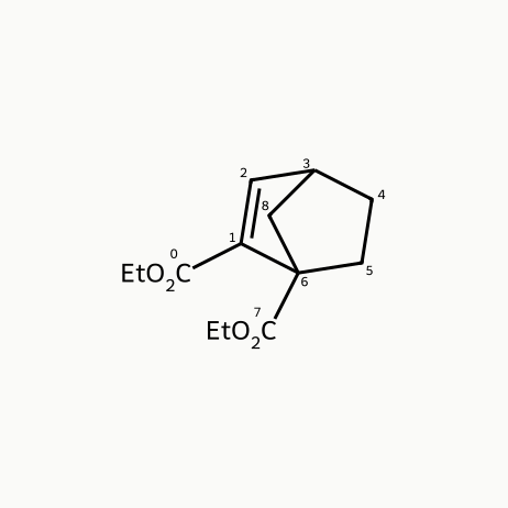 CCOC(=O)C1=CC2CCC1(C(=O)OCC)C2